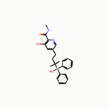 CNC(=O)c1ncc(CCC(C)(C)[Si](O)(c2ccccc2)c2ccccc2)cc1O